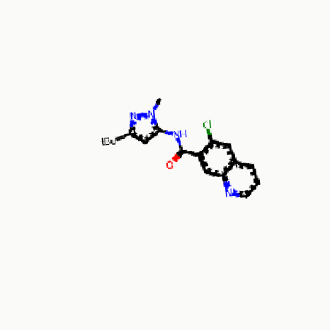 Cn1nc(C(C)(C)C)cc1NC(=O)c1cc2ncccc2cc1Cl